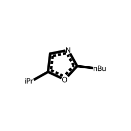 CCCCc1ncc(C(C)C)o1